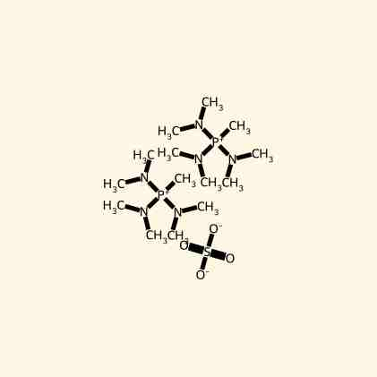 CN(C)[P+](C)(N(C)C)N(C)C.CN(C)[P+](C)(N(C)C)N(C)C.O=S(=O)([O-])[O-]